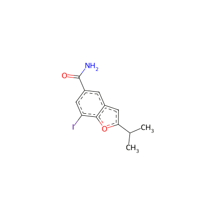 CC(C)c1cc2cc(C(N)=O)cc(I)c2o1